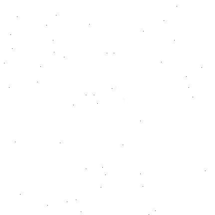 CC(C)C1(C(C)C)CSc2ccccc21